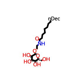 CCCCCCCCCCCCCCCCCC(=O)NCCO[C@@H]1O[C@H](CO)[C@H](O)[C@H](O)[C@H]1O